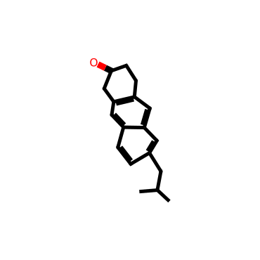 CC(C)Cc1ccc2cc3c(cc2c1)CCC(=O)C3